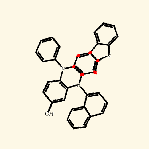 Oc1ccc(N(c2ccccc2)c2ccccc2)c(N(c2ccc3c(c2)sc2ccccc23)c2cccc3ccccc23)c1